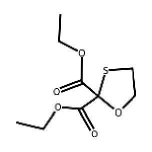 CCOC(=O)C1(C(=O)OCC)OCCS1